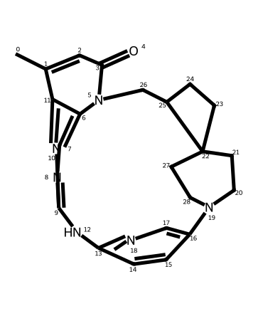 Cc1cc(=O)n2c3cnc(nc13)Nc1ccc(cn1)N1CCC3(CCC3C2)CC1